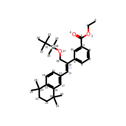 CCOC(=O)c1cccc(/C(=C/c2ccc3c(c2)C(C)(C)CCC3(C)C)CO[Si](C)(C)C(C)(C)C)c1